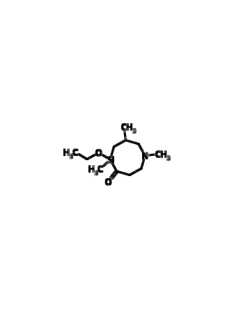 CCO[Si]1(C)CC(C)CN(C)CCC1=O